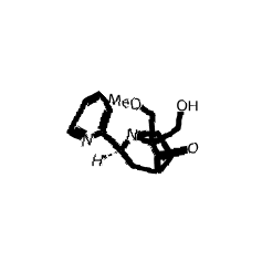 COCC1(CO)C(=O)C2CCN1[C@H](c1ccccn1)C2